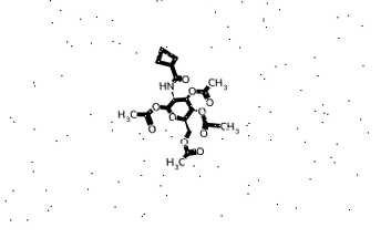 CC(=O)OC[C@H]1OC(OC(C)=O)[C@H](NC(=O)C2CCC2)[C@@H](OC(C)=O)[C@@H]1OC(C)=O